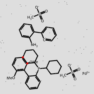 COc1cccc(OC)c1-c1ccccc1P(C1CCCCC1)C1CCCCC1.CS(=O)(=O)[O-].CS(=O)(=O)[O-].Nc1ccccc1-c1[c-]cccc1.[Pd+2]